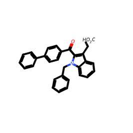 O=C(O)Cc1c(C(=O)c2ccc(-c3ccccc3)cc2)n(Cc2ccccc2)c2ccccc12